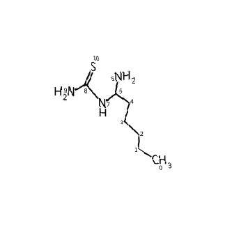 CCCCCC(N)NC(N)=S